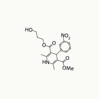 COC(=O)C1=C(C)NC(C)=C(C(=O)OCCCO)C1c1cccc([N+](=O)[O-])c1